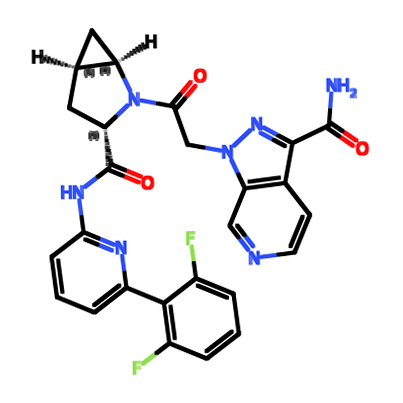 NC(=O)c1nn(CC(=O)N2[C@@H]3C[C@@H]3C[C@H]2C(=O)Nc2cccc(-c3c(F)cccc3F)n2)c2cnccc12